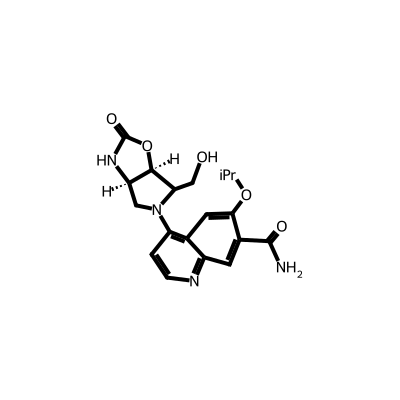 CC(C)Oc1cc2c(N3C[C@H]4NC(=O)O[C@H]4C3CO)ccnc2cc1C(N)=O